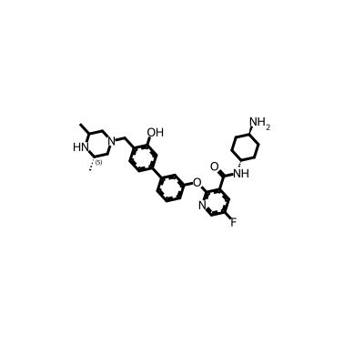 CC1CN(Cc2ccc(-c3cccc(Oc4ncc(F)cc4C(=O)N[C@H]4CC[C@H](N)CC4)c3)cc2O)C[C@H](C)N1